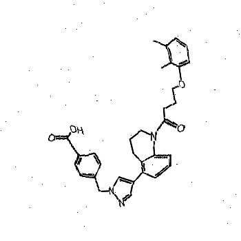 Cc1cccc(OCCCC(=O)N2CCCc3c(-c4cnn(Cc5ccc(C(=O)O)cc5)c4)cccc32)c1C